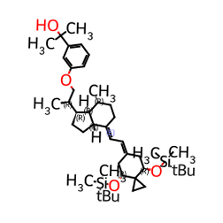 C[C@@H]1CC/C(=C\C=C2C[C@@H](O[Si](C)(C)C(C)(C)C)C3(CC3)[C@H](O[Si](C)(C)C(C)(C)C)C2)[C@@H]2CC[C@@H]([C@@H](C)COc3cccc(C(C)(C)O)c3)[C@@H]12